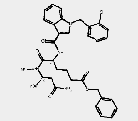 CCCC[C@@H](CC(N)=O)N(CCC)C(=O)[C@H](CCCC(=O)OCc1ccccc1)NC(=O)c1cn(Cc2ccccc2Cl)c2ccccc12